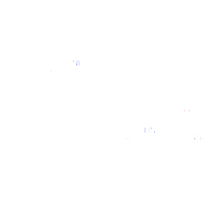 COC(=O)C(Cc1ccc(OCCNC(C(=O)C2CCCC2)C2CC2)cc1)Nc1ccccc1C(=O)c1ccccc1